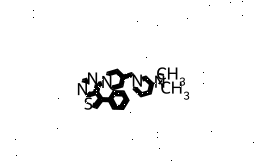 CN(C)[C@@H]1CCCN(CC2CCN(c3ncnc4scc(-c5ccccc5)c34)CC2)C1